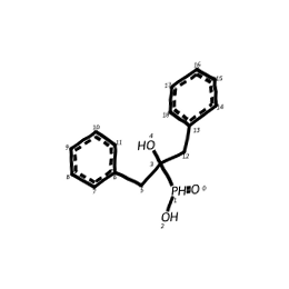 O=[PH](O)C(O)(Cc1ccccc1)Cc1ccccc1